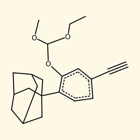 C#Cc1ccc(C23CC4CC(CC(C4)C2)C3)c(OC(OC)OCC)c1